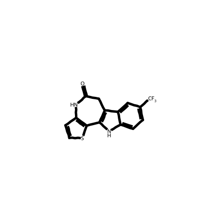 O=C1Cc2c([nH]c3ccc(C(F)(F)F)cc23)-c2sccc2N1